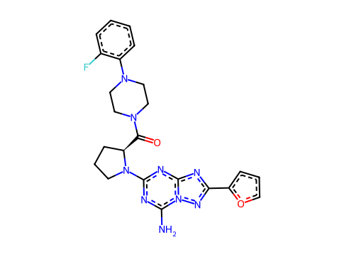 Nc1nc(N2CCC[C@H]2C(=O)N2CCN(c3ccccc3F)CC2)nc2nc(-c3ccco3)nn12